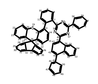 c1ccc(-c2nc(-c3ccccc3-c3cccc4c3Sc3ccccc3C43c4ccccc4-c4ccccc43)nc(-c3ccc(-c4ccccc4)c4ccccc34)n2)cc1